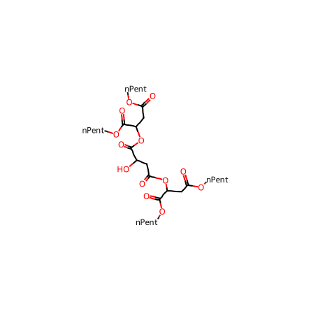 CCCCCOC(=O)CC(OC(=O)CC(O)C(=O)OC(CC(=O)OCCCCC)C(=O)OCCCCC)C(=O)OCCCCC